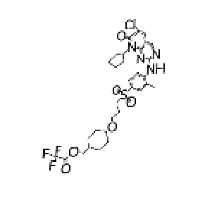 Cc1cc(S(=O)(=O)CCCOC2CCC(COC(=O)C(F)(F)F)CC2)ccc1Nc1ncc2cc(Cl)c(=O)n(C3CCCC3)c2n1